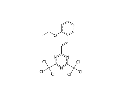 CCOc1ccccc1/C=C/c1nc(C(Cl)(Cl)Cl)nc(C(Cl)(Cl)Cl)n1